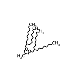 C=C(COCC(CCCCCCCC)CCCCCCCC)COCC(CCCCCCCC)CCCCCCCC